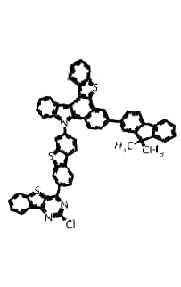 CC1(C)c2ccccc2-c2ccc(-c3ccc4c(c3)c3sc5ccccc5c3c3c5ccccc5n(-c5ccc6c(c5)sc5cc(-c7nc(Cl)nc8c7sc7ccccc78)ccc56)c43)cc21